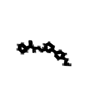 CCCCOc1ccc(-c2ccnc(SCNC(=O)c3ccccc3)n2)cc1